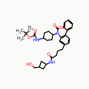 CC(C)(C)OC(=O)NC1CCC(N(C(=O)O)c2cc(CCCC(=O)NC3CC(CO)C3)ccc2-c2ccccc2)CC1